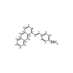 Nc1ccc(C=Cc2cccc3cc4ccccc4cc23)cc1